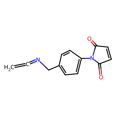 C=C=NCc1ccc(N2C(=O)C=CC2=O)cc1